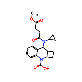 COC(=O)CCC(=O)N(C1CC1)C1c2ccccc2N(C(=O)O)C2CCC21